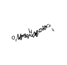 O=[N+]([O-])c1cn2c(n1)OC[C@@H](NCc1cnc(N3CCN(c4ncc(C(F)(F)F)cn4)CC3)nc1)C2